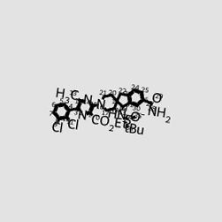 CCOC(=O)c1nc(-c2cccc(Cl)c2Cl)c(C)nc1N1CCC2(CC1)Cc1ccc(C(N)=O)cc1[C@H]2N[S+]([O-])C(C)(C)C